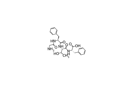 C[C@@H](O)[C@H](NC(=O)[C@H](Cc1ccccc1)NC(=O)CN)C(=O)N[C@@H](Cc1ccccc1)C(=O)O